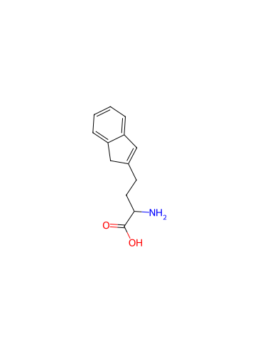 NC(CCC1=Cc2ccccc2C1)C(=O)O